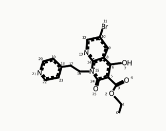 CCOC(=O)c1c(O)c2cc(Br)cnc2n(CCc2ccncc2)c1=O